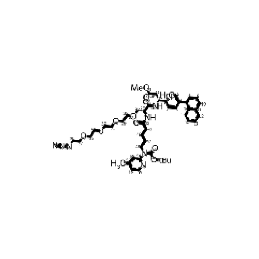 C=C(/C=C\C(=C/C)c1cccc2ccccc12)[C@H](CC(=O)OC)NC(=O)[C@H](COCCOCCOCCOCCN=[N+]=[N-])NC(=O)CCCCN(C(=O)OC(C)(C)C)c1cc(C)ccn1